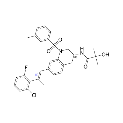 C/C(=C\c1ccc2c(c1)N(S(=O)(=O)c1cccc(C)c1)C[C@H](NC(=O)C(C)(C)O)C2)c1c(F)cccc1Cl